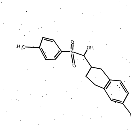 Cc1ccc(S(=O)(=O)C(O)C2CCc3cc(Br)ccc3C2)cc1